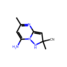 CC1=NC2=CC(C)(C#N)NN2C(N)=C1